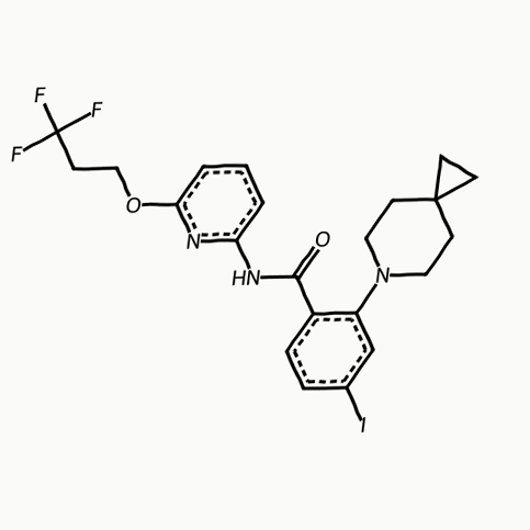 O=C(Nc1cccc(OCCC(F)(F)F)n1)c1ccc(I)cc1N1CCC2(CC1)CC2